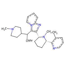 COC(c1c([C@H]2CCC[C@@H](c3ncccc3C)N2C)nc2ccccn12)C1CCN(C)CC1